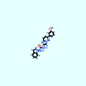 COc1cccc(-c2ccc3nc(NC(=O)NN4CCc5ccccc54)cn3n2)c1